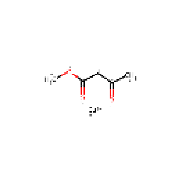 COC(=O)CC(C)=O.[Cu+2]